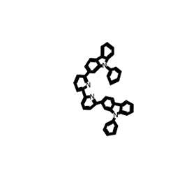 c1ccc(-n2c3ccccc3c3ccc(-c4cccc(-c5cccc(-c6ccc7c8ccccc8n(-c8ccccc8)c7c6)n5)n4)cc32)cc1